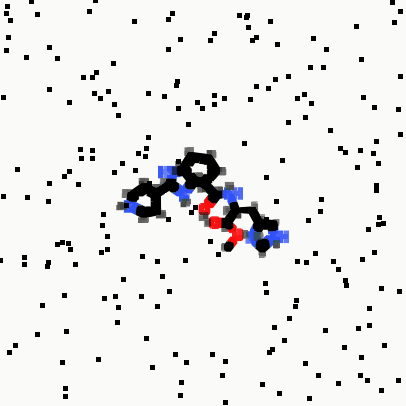 COC(=O)[C@H](Cc1c[nH]cn1)NC(=O)c1cccc2[nH]c(-c3ccncc3)nc12